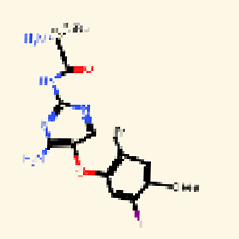 CC[C@@H](C)[C@@H](N)C(=O)Nc1ncc(Oc2cc(I)c(OC)cc2C(C)C)c(N)n1